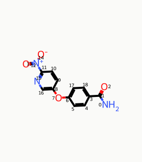 NC(=O)c1ccc(Oc2ccc([N+](=O)[O-])nc2)cc1